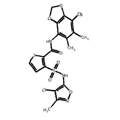 Cc1noc(NS(=O)(=O)c2ccsc2C(=O)Nc2c(C)c(C)c(C#N)c3c2OCO3)c1Cl